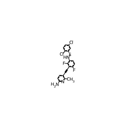 Cc1nc(N)ccc1C#Cc1c(F)ccc(NSc2cc(Cl)ccc2Cl)c1F